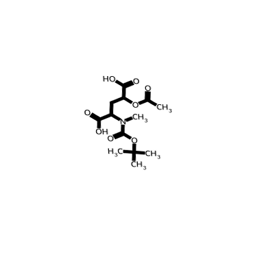 CC(=O)OC(CC(C(=O)O)N(C)C(=O)OC(C)(C)C)C(=O)O